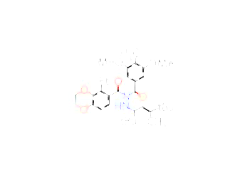 CCc1c(C(=O)N(NC(C=C(C)C(C)(C)C)C(C)(C)C)C(=O)c2cc(OC)c(C)c(OC)c2)ccc2c1OCCO2